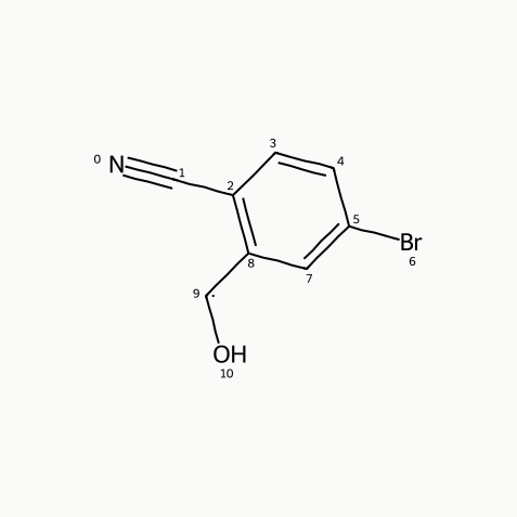 N#Cc1ccc(Br)cc1[CH]O